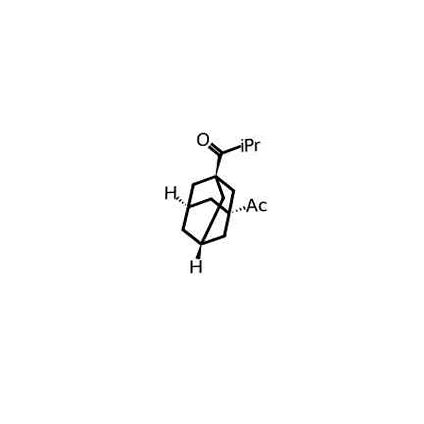 CC(=O)[C@@]12C[C@H]3C[C@@H](C1)C[C@](C(=O)C(C)C)(C3)C2